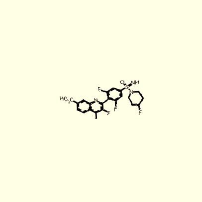 Cc1c(F)c(-c2c(F)cc(S(=N)(=O)N3CCC(F)CC3)cc2F)nc2cc(C(=O)O)ccc12